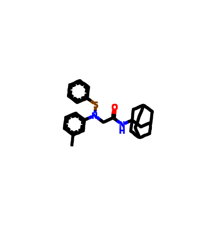 Cc1cccc(N(CC(=O)NC23CC4CC(CC(C4)C2)C3)Sc2ccccc2)c1